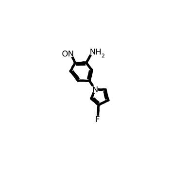 Nc1cc(-n2ccc(F)c2)ccc1N=O